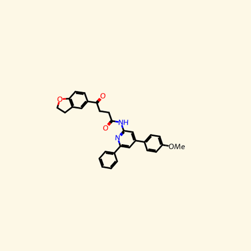 COc1ccc(-c2cc(NC(=O)CCC(=O)c3ccc4c(c3)CCO4)nc(-c3ccccc3)c2)cc1